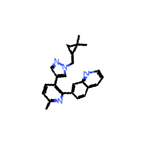 Cc1ccc(-c2cnn(CC3CC3(C)C)c2)c(-c2ccc3cccnc3c2)n1